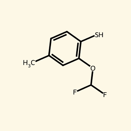 Cc1ccc(S)c(OC(F)F)c1